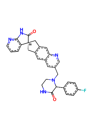 O=C1NCCN(Cc2cnc3cc4c(cc3c2)C[C@@]2(C4)C(=O)Nc3ncccc32)C1c1ccc(F)cc1